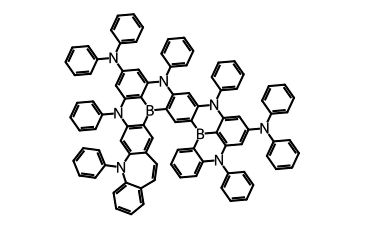 C1=Cc2cc3c(cc2N(c2ccccc2)c2ccccc21)N(c1ccccc1)c1cc(N(c2ccccc2)c2ccccc2)cc2c1B3c1cc3c(cc1N2c1ccccc1)N(c1ccccc1)c1cc(N(c2ccccc2)c2ccccc2)cc2c1B3c1ccccc1N2c1ccccc1